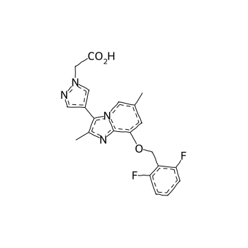 Cc1cc(OCc2c(F)cccc2F)c2nc(C)c(-c3cnn(CC(=O)O)c3)n2c1